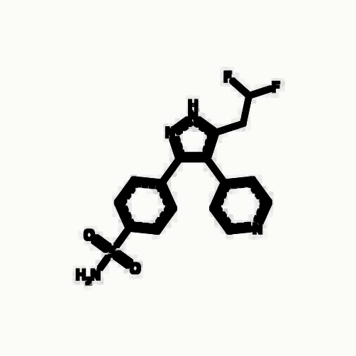 NS(=O)(=O)c1ccc(-c2n[nH]c(CC(F)F)c2-c2ccncc2)cc1